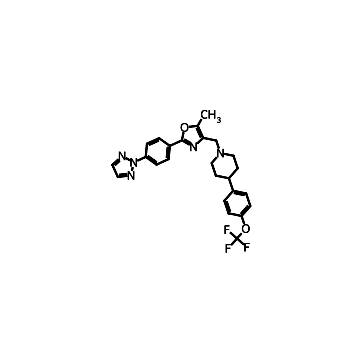 Cc1oc(-c2ccc(-n3nccn3)cc2)nc1CN1CCC(c2ccc(OC(F)(F)F)cc2)CC1